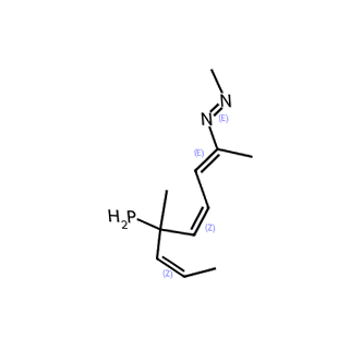 C/C=C\C(C)(P)\C=C/C=C(C)/N=N/C